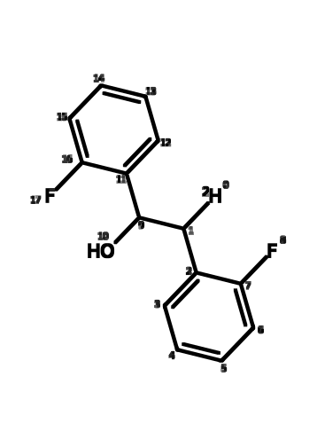 [2H]C(c1ccccc1F)C(O)c1ccccc1F